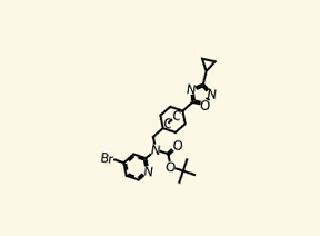 CC(C)(C)OC(=O)N(CC12CCC(c3nc(C4CC4)no3)(CC1)CC2)c1cc(Br)ccn1